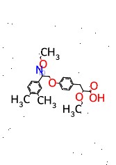 CCO/N=C(\COc1ccc(CC(OCC)C(=O)O)cc1)c1ccc(C)c(C)c1